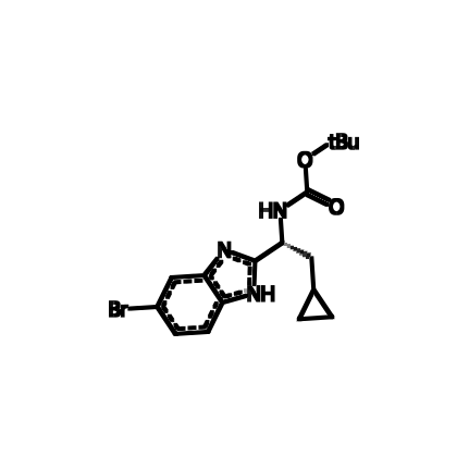 CC(C)(C)OC(=O)N[C@H](CC1CC1)c1nc2cc(Br)ccc2[nH]1